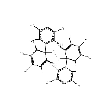 ClC1=C(Cl)C(Cl)C(SSC2(c3c(Cl)c(Br)cc(Br)c3Cl)C(Cl)=C(Cl)C(Cl)=C(Cl)C2Cl)(c2c(Cl)c(Br)cc(Br)c2Cl)C(Cl)=C1Cl